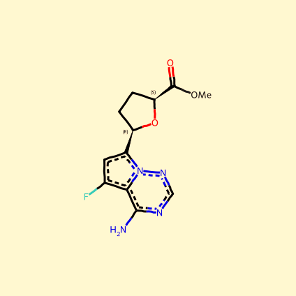 COC(=O)[C@@H]1CC[C@H](c2cc(F)c3c(N)ncnn23)O1